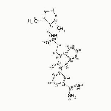 C[C@@H]1CCC[C@H](C)N1CNC(=O)CCN1C(=O)C(c2cccc(C(=N)N)c2)Sc2ccccc21